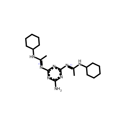 C/C(=N\c1nc(N)nc(/N=C(\C)NC2CCCCC2)n1)NC1CCCCC1